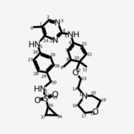 Cc1cnc(NC2=CC(C)C(C)(OCCN3CCOCC3)C=C2)nc1Nc1ccc(CNS(=O)(=O)C2CC2)cc1